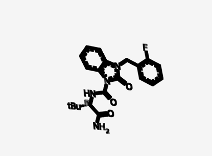 CC(C)(C)[C@H](NC(=O)n1c(=O)n(Cc2ccccc2F)c2ccccc21)C(N)=O